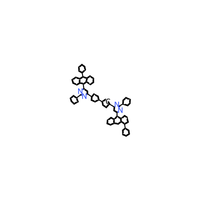 c1ccc(-c2nc(-c3ccc(-c4ccc(-c5cc(-c6c7ccccc7c(-c7ccccc7)c7ccccc67)nc(-c6ccccc6)n5)cc4)cc3)cc(-c3c4ccccc4cc4c(-c5ccccc5)cccc34)n2)cc1